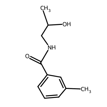 Cc1cccc(C(=O)NCC(C)O)c1